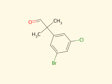 CC(C)(C=O)c1cc(Cl)cc(Br)c1